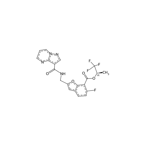 C[C@@H](OC(=O)c1c(F)ccc2cc(CNC(=O)c3cnn4cccnc34)oc12)C(F)(F)F